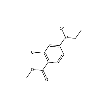 CC[S+]([O-])c1ccc(C(=O)OC)c(Cl)c1